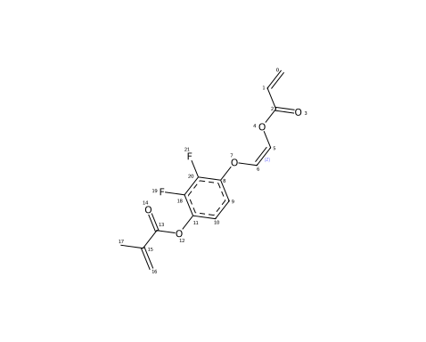 C=CC(=O)O/C=C\Oc1ccc(OC(=O)C(=C)C)c(F)c1F